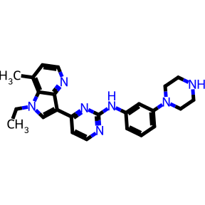 CCn1cc(-c2ccnc(Nc3cccc(N4CCNCC4)c3)n2)c2nccc(C)c21